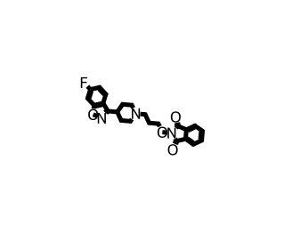 O=C1c2ccccc2C(=O)N1OCCCN1CCC(c2noc3cc(F)ccc23)CC1